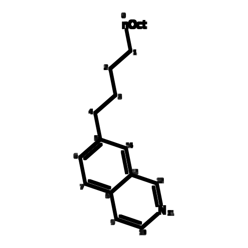 CCCCCCCCCCCCc1ccc2ccncc2c1